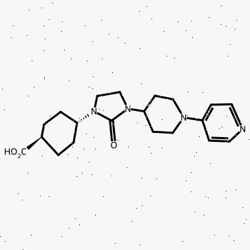 O=C1N(C2CCN(c3ccncc3)CC2)CCN1[C@H]1CC[C@H](C(=O)O)CC1